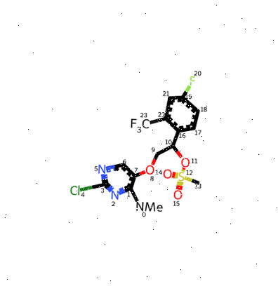 CNc1nc(Cl)ncc1OCC(OS(C)(=O)=O)c1ccc(F)cc1C(F)(F)F